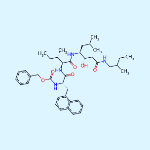 CCC(C)CNC(=O)C[C@H](O)[C@H](CC(C)C)NC(=O)[C@@H](NC(=O)[C@H](Cc1cccc2ccccc12)NC(=O)OCc1ccccc1)[C@@H](C)CC